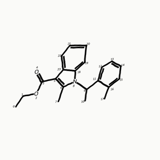 CCOC(=O)c1c(C)n(C(C)c2ccccc2C)c2ccccc12